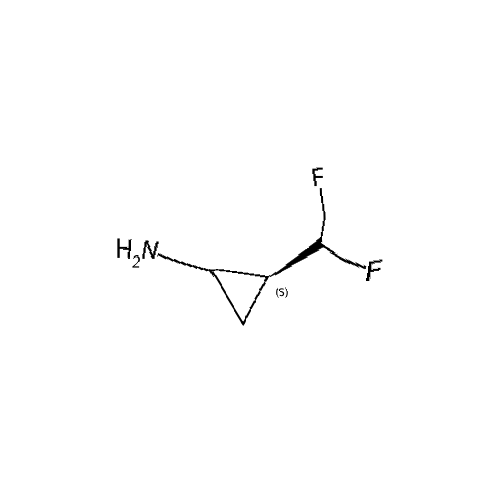 NC1C[C@@H]1C(F)F